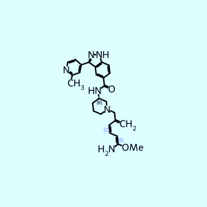 C=C(/C=C\C=C(/N)OC)CN1CCC[C@@H](NC(=O)c2ccc3[nH]nc(-c4ccnc(C)c4)c3c2)C1